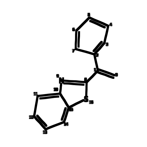 C=C(c1ccccc1)c1nc2ccccc2s1